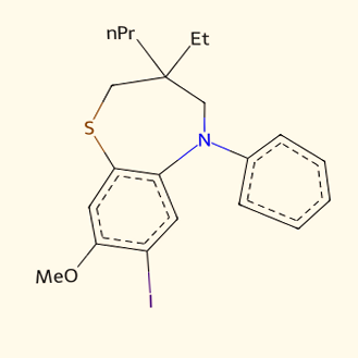 CCCC1(CC)CSc2cc(OC)c(I)cc2N(c2ccccc2)C1